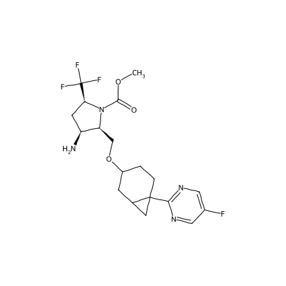 COC(=O)N1[C@H](C(F)(F)F)C[C@H](N)[C@@H]1COC1CCC2(c3ncc(F)cn3)CC2C1